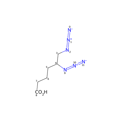 [N-]=[N+]=NCC(CCCC(=O)O)N=[N+]=[N-]